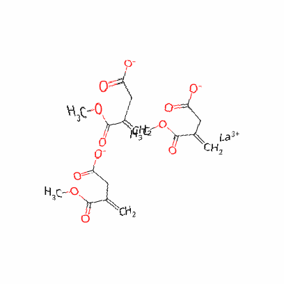 C=C(CC(=O)[O-])C(=O)OC.C=C(CC(=O)[O-])C(=O)OC.C=C(CC(=O)[O-])C(=O)OC.[La+3]